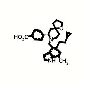 Cc1cc(CCC2CC2)c(CN2CCC3(CCCO3)C[C@H]2c2ccc(C(=O)O)cc2)c2cc[nH]c12